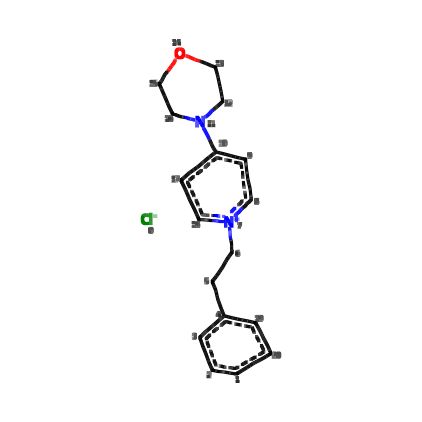 [Cl-].c1ccc(CC[n+]2ccc(N3CCOCC3)cc2)cc1